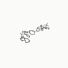 CC(C(=O)Nc1ccc(-c2ccc(S(=O)(=O)NC(C)(C)C)cc2)cc1)n1ccc2ccccc21